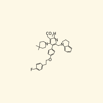 Cc1nc(CN2CCCc3ccccc32)c(-c2ccc(OCCc3ccc(F)cc3)cc2)c(N2CCC(C)(C)CC2)c1CC(=O)O